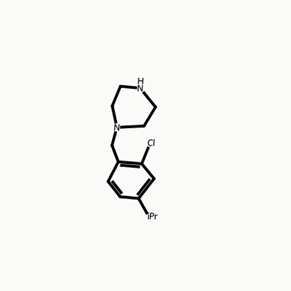 CC(C)c1ccc(CN2CCNCC2)c(Cl)c1